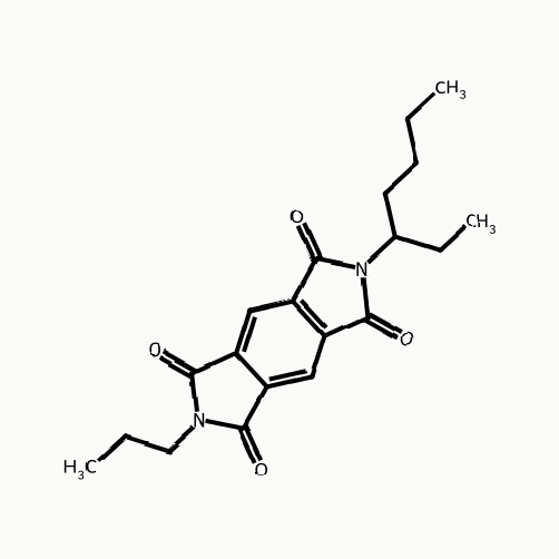 CCCCC(CC)n1c(=O)c2cc3c(=O)n(CCC)c(=O)c3cc2c1=O